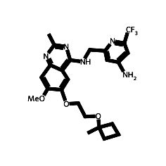 COc1cc2nc(C)nc(NCc3cc(N)cc(C(F)(F)F)n3)c2cc1OCCOC1(C)CCC1